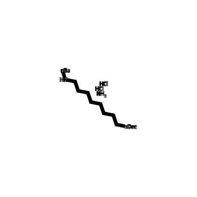 CCCCCCCCCCCCCCCCCCNCCCC.Cl.Cl.N